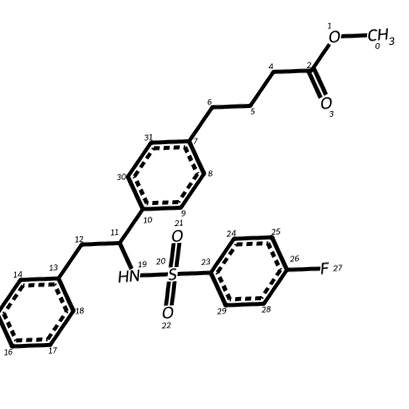 COC(=O)CCCc1ccc(C(Cc2ccccc2)NS(=O)(=O)c2ccc(F)cc2)cc1